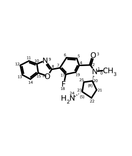 CN(C(=O)c1ccc(-c2nc3ccccc3o2)c(F)c1)[C@@H]1CC[C@H](N)C1